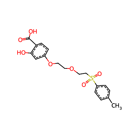 Cc1ccc(S(=O)(=O)CCOCCOc2ccc(C(=O)O)c(O)c2)cc1